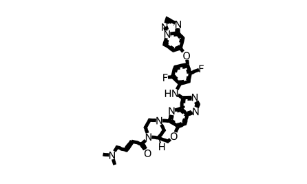 CN(C)C/C=C/C(=O)N1CCN2C[C@H]1COc1cc3ncnc(Nc4cc(F)c(Oc5ccn6ncnc6c5)cc4F)c3nc12